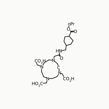 CCCOC(=O)C1CCC(CNC(=O)CN2CCN(CC(=O)O)CCN(CC(=O)O)CCN(CC(=O)O)CC2)CC1